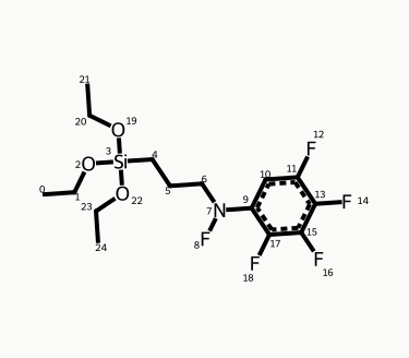 CCO[Si](CCCN(F)c1cc(F)c(F)c(F)c1F)(OCC)OCC